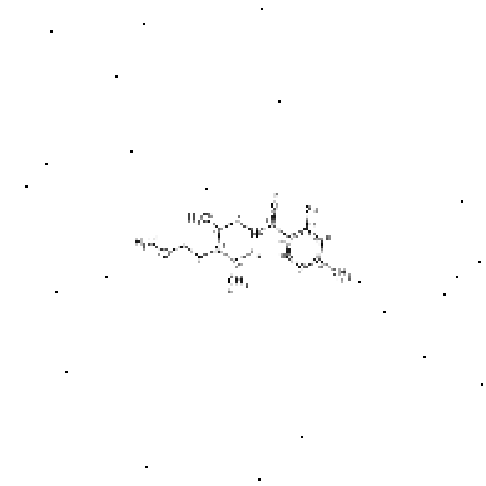 COCCN1C(C)CN(C(=O)c2ccc(C)cc2F)CC1C